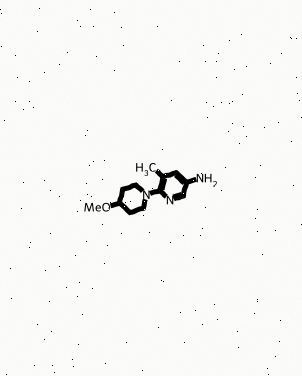 COC1CCN(c2ncc(N)cc2C)CC1